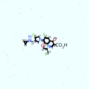 O=C(O)c1cn2c3c(c(N4C[C@H](CNC5CC5)[C@H](F)C4)c(F)cc3c1=O)OC[C@@H]2CF